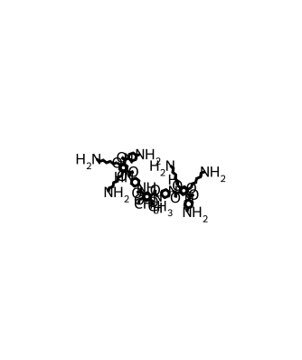 COc1cc(OC)c(C(=O)N[C@H]2CC[C@@H](NC(=O)c3cc(C(=O)N4CCC(N)CC4)c(OCCCCCN)cc3OCCCCCN)CC2)cc1C(=O)N[C@H]1CC[C@@H](NC(=O)c2cc(C(=O)N3CCC(N)CC3)c(OCCCCCN)cc2OCCCCCN)CC1